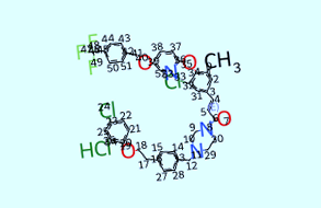 Cc1cc(/C=C/C(=O)N2CCN(Cc3ccc(CCOc4ccc(Cl)cc4)cc3)CC2)cc(Cl)c1Oc1ccc(OCc2ccc(C(F)(F)F)cc2)cn1.Cl